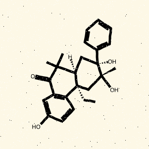 CC[C@@]12C[C@@](C)(O)[C@](O)(c3ccccc3)C[C@@H]1C(C)(C)C(=O)c1cc(O)ccc12